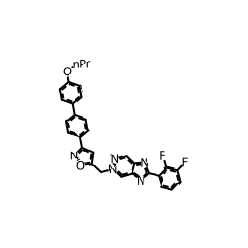 CCCOc1ccc(-c2ccc(-c3cc(Cn4cc5nc(-c6cccc(F)c6F)nc-5cn4)on3)cc2)cc1